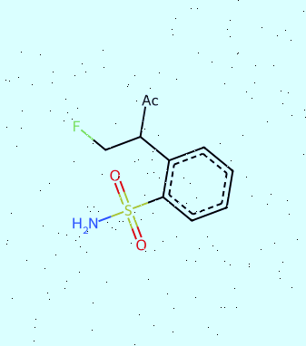 CC(=O)C(CF)c1ccccc1S(N)(=O)=O